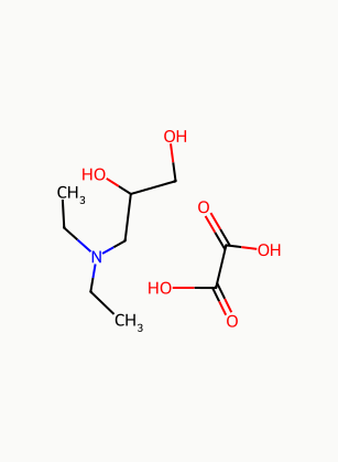 CCN(CC)CC(O)CO.O=C(O)C(=O)O